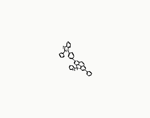 CC1(c2ccccn2)c2cc(-c3ccccc3)cc3ccc4cc(-c5ccc(-n6c(-c7ccccc7)nc7ccccc76)cc5)cc1c4c23